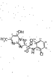 Cc1cc(O)n2nc(S(=O)(=O)Nc3c(Cl)cccc3Cl)nc2n1